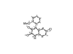 COc1ncccc1-n1c(=O)c(=O)[nH]c2ccc(Cl)cc21